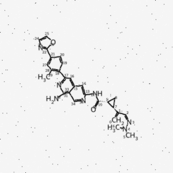 C=C(/C=N\N(C)C)[C@@H]1C[C@H]1C(=O)Nc1cc2cc(-c3ccc(-c4ncco4)cc3C)nc(N)c2cn1